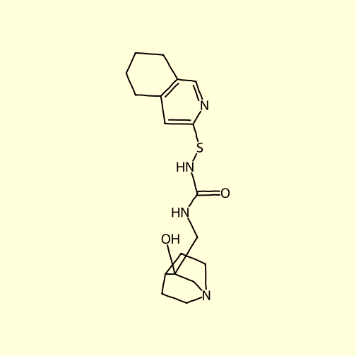 O=C(NCC1(O)CN2CCC1CC2)NSc1cc2c(cn1)CCCC2